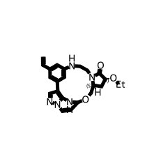 C=Cc1cc2cc(c1)-c1cnn3c1NC(C=C3)OC[C@@H]1C[C@@H](OCC)C(=O)N1CCN2